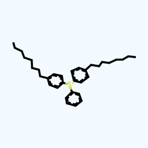 CCCCCCCCc1ccc([S+](c2ccccc2)c2ccc(CCCCCCCC)cc2)cc1